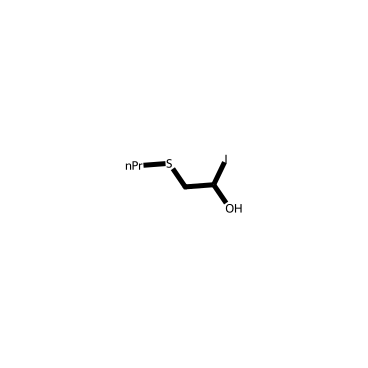 CCCSCC(O)I